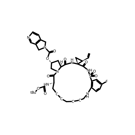 C=C[C@@H]1C[C@@]12NC(=O)[C@@H]1C[C@@H](OC(=O)N3Cc4ccncc4C3)CN1C(=O)[C@@H](NC(=O)OC(C)(C)C)CCCCCCCNc1ccc(F)cc1S(=O)(=O)NC2=O